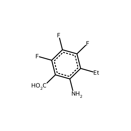 CCc1c(N)c(C(=O)O)c(F)c(F)c1F